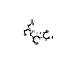 CCNC[C@H](CS)NC[C@H](CS)NC[C@H](CS)NCC